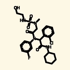 CN(CC(=O)N(c1cccc(F)c1)C(C(=O)NC1CCCCC1)c1ccccc1Cl)S(=O)(=O)NCCO